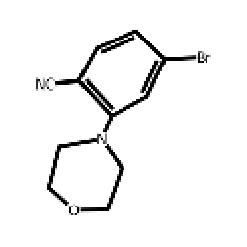 N#Cc1ccc(Br)cc1N1CCOCC1